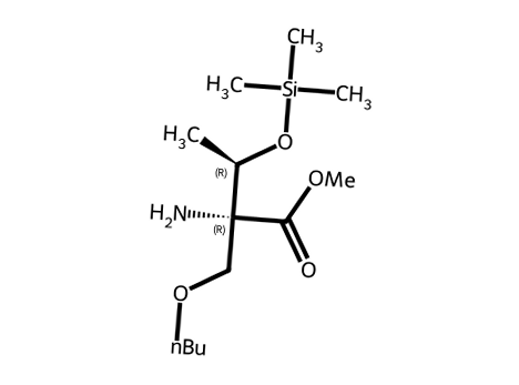 CCCCOC[C@](N)(C(=O)OC)[C@@H](C)O[Si](C)(C)C